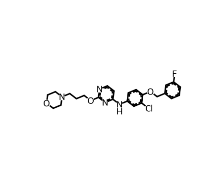 Fc1cccc(COc2ccc(Nc3ccnc(OCCCN4CCOCC4)n3)cc2Cl)c1